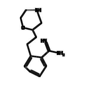 N=C(N)c1ccccc1CCC1CNCCO1